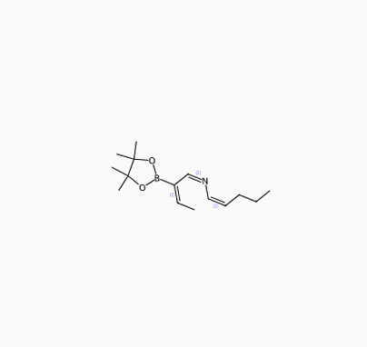 C\C=C(/C=N\C=C/CCC)B1OC(C)(C)C(C)(C)O1